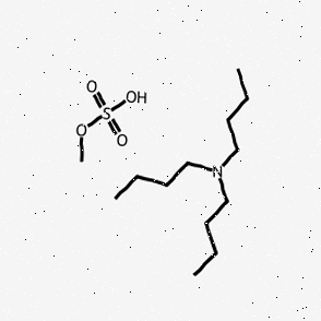 CCCCN(CCCC)CCCC.COS(=O)(=O)O